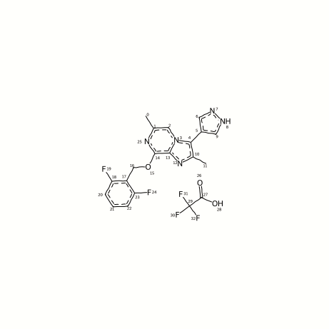 Cc1cn2c(-c3cn[nH]c3)c(C)nc2c(OCc2c(F)cccc2F)n1.O=C(O)C(F)(F)F